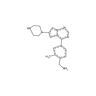 Cc1cc(-c2ncnn3cc(N4CCNCC4)cc23)ccc1CN